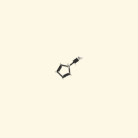 N#Cn1cccc1